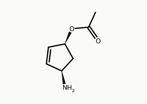 CC(=O)O[C@@H]1C=C[C@H](N)C1